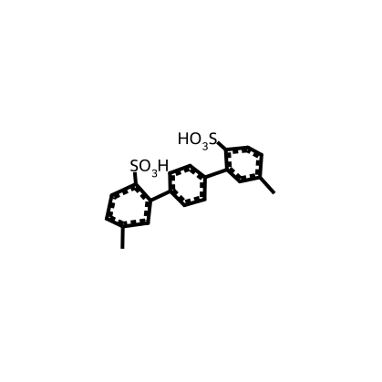 Cc1ccc(S(=O)(=O)O)c(-c2ccc(-c3cc(C)ccc3S(=O)(=O)O)cc2)c1